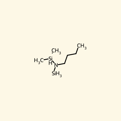 CCCCN([SiH3])[SiH](C)C